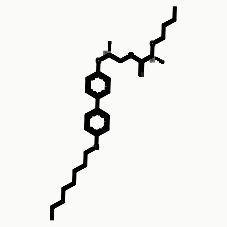 CCCCCCCCOc1ccc(-c2ccc(O[C@H](C)COC(=O)[C@@H](C)OCCCC)cc2)cc1